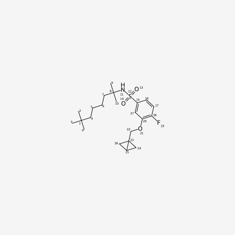 CC(C)(C)CCCCC(C)(C)NS(=O)(=O)c1ccc(F)c(OCC23CC2C3)c1